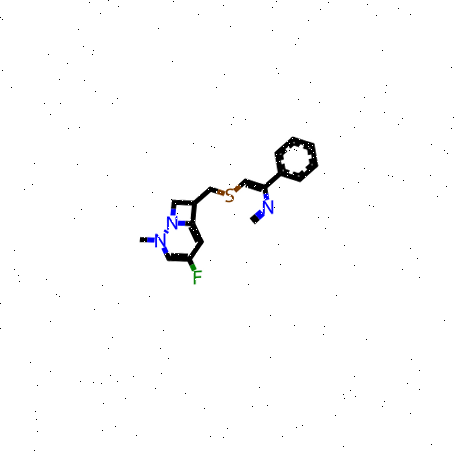 C=N/C(=C\SCC1CN2C1=CC(F)=CN2C)c1ccccc1